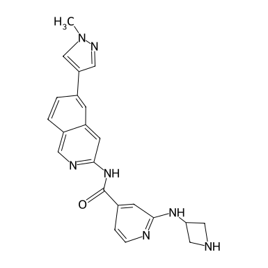 Cn1cc(-c2ccc3cnc(NC(=O)c4ccnc(NC5CNC5)c4)cc3c2)cn1